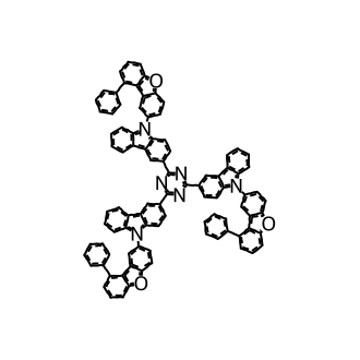 c1ccc(-c2cccc3oc4ccc(-n5c6ccccc6c6cc(-c7nc(-c8ccc9c(c8)c8ccccc8n9-c8ccc9oc%10cccc(-c%11ccccc%11)c%10c9c8)nc(-c8ccc9c(c8)c8ccccc8n9-c8ccc9oc%10cccc(-c%11ccccc%11)c%10c9c8)n7)ccc65)cc4c23)cc1